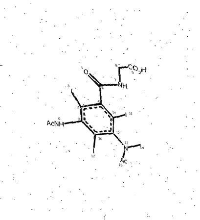 CC(=O)Nc1c(I)c(C(=O)NCC(=O)O)c(I)c(N(C)C(C)=O)c1I